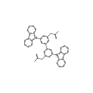 C=C(C)Cc1cc(-c2cc(CC(=C)C)cc(-n3c4ccccc4c4ccccc43)c2)cc(-n2c3ccccc3c3ccccc32)c1